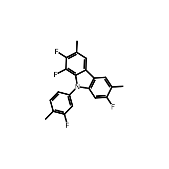 Cc1ccc(-n2c3cc(F)c(C)cc3c3cc(C)c(F)c(F)c32)cc1F